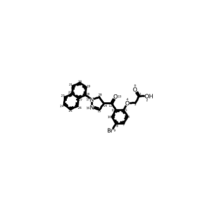 O=C(O)COc1ccc(Br)cc1C(=O)C1C=NN(c2cccc3ccccc23)C1